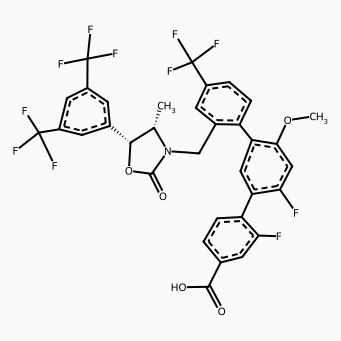 COc1cc(F)c(-c2ccc(C(=O)O)cc2F)cc1-c1ccc(C(F)(F)F)cc1CN1C(=O)O[C@H](c2cc(C(F)(F)F)cc(C(F)(F)F)c2)[C@@H]1C